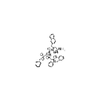 CCCN(C(=O)[C@H](CCC(=O)OCc1ccccc1)NC(=O)c1cn(Cc2ccccc2Cl)c2ccccc12)[C@H](CC(N)=O)Cc1ccc2ccccc2c1